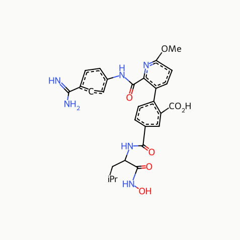 COc1ccc(-c2ccc(C(=O)NC(CC(C)C)C(=O)NO)cc2C(=O)O)c(C(=O)Nc2ccc(C(=N)N)cc2)n1